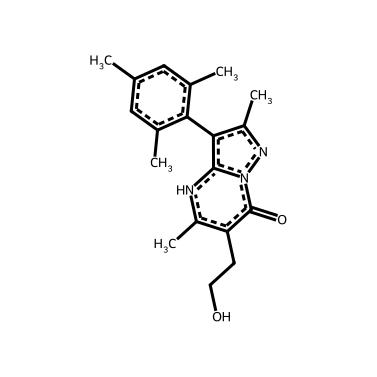 Cc1cc(C)c(-c2c(C)nn3c(=O)c(CCO)c(C)[nH]c23)c(C)c1